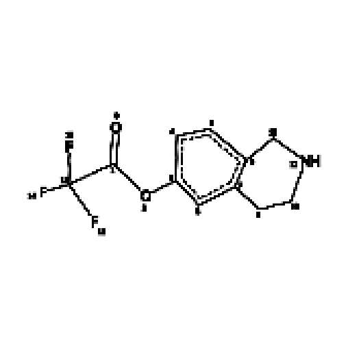 O=C(Oc1ccc2c(c1)CCNC2)C(F)(F)F